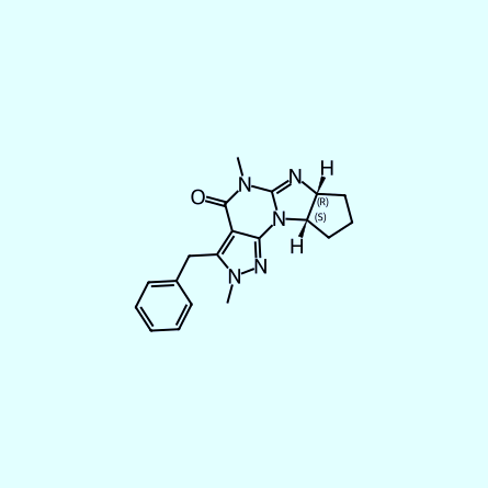 CN1C(=O)c2c(nn(C)c2Cc2ccccc2)N2C1=N[C@@H]1CCC[C@@H]12